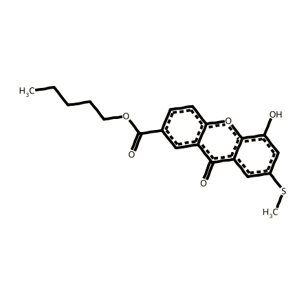 CCCCCOC(=O)c1ccc2oc3c(O)cc(SC)cc3c(=O)c2c1